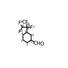 O=CC1CCCC(C(F)(C(F)F)C(F)(F)F)C1